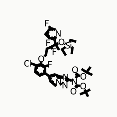 CC[Si](CC)(CC)OC(C)(c1ccc(F)cn1)C(F)(F)CCOc1c(Cl)ccc(-c2ccn3nc(N(C(=O)OC(C)(C)C)C(=O)OC(C)(C)C)nc3c2)c1F